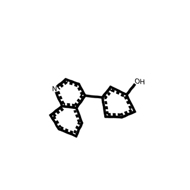 Oc1cccc(-c2ccnc3ccccc23)c1